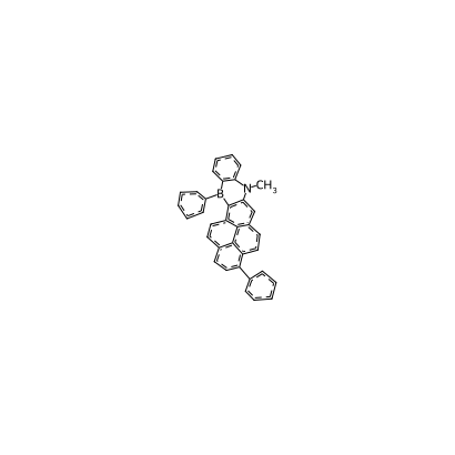 CN1c2ccccc2B(c2ccccc2)c2c1cc1ccc3c(-c4ccccc4)ccc4ccc2c1c43